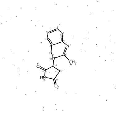 CC1=Nc2ccccc2CN1C1CC(=O)NC1=O